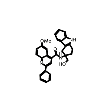 COc1ccc2nc(-c3ccccc3)cc(C(=O)NC3(CO)CCc4[nH]c5ccccc5c4C3)c2c1